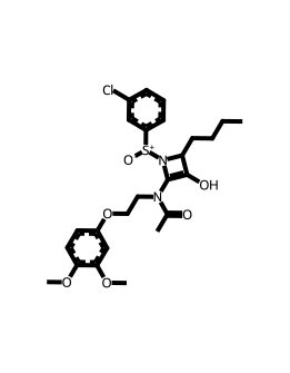 CCCCC1C(O)=C(N(CCOc2ccc(OC)c(OC)c2)C(C)=O)N1[S+]([O-])c1cccc(Cl)c1